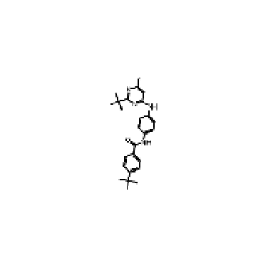 Cc1cc(Nc2ccc(NC(=O)c3ccc(C(C)(C)C)cc3)cc2)nc(C(C)(C)C)n1